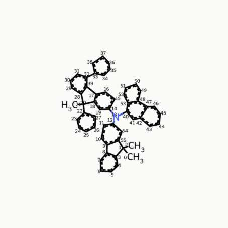 CC1(C)c2ccccc2-c2ccc(N(c3ccc4c(c3)C(C)(c3ccccc3)c3cccc(-c5ccccc5)c3-4)c3cc4ccccc4c4ccccc34)cc21